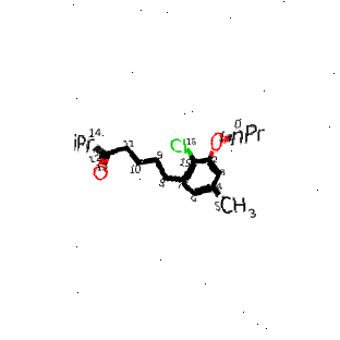 CCCOc1cc(C)cc(CCCCC(=O)C(C)C)c1Cl